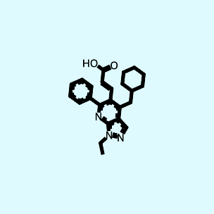 CCn1ncc2c(CC3CCCCC3)c(C=CC(=O)O)c(-c3ccccc3)nc21